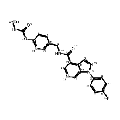 CC(C)(C)NC(=O)Oc1ccc(CNC(=O)c2cncc3c2cnn3-c2ccc(F)cc2)cn1